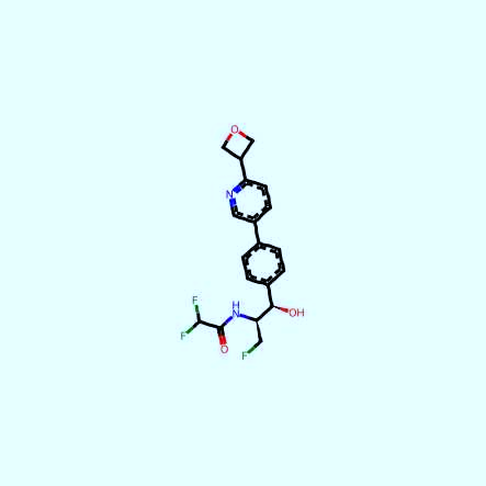 O=C(N[C@H](CF)[C@H](O)c1ccc(-c2ccc(C3COC3)nc2)cc1)C(F)F